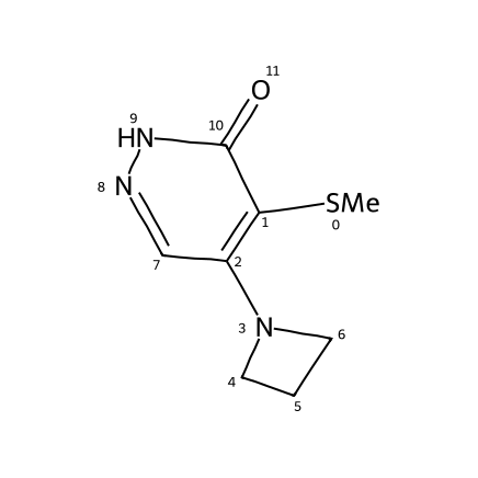 CSc1c(N2CCC2)cn[nH]c1=O